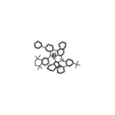 CC(C)(C)c1ccc(N2c3cc4ccccc4c(-c4ccc(-c5ccccc5)cc4Nc4ccc5c(c4)C(C)(C)CCC5(C)C)c3Bc3c2sc2ccccc32)c(-c2ccccc2)c1